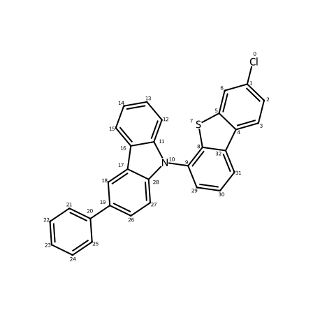 Clc1ccc2c(c1)sc1c(-n3c4ccccc4c4cc(-c5ccccc5)ccc43)cccc12